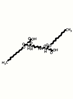 CCCCCCCCCCCCOC(=O)[C@H](CCC(=O)O)NC(=O)NCCCCCNC(=O)N[C@@H](CCC(=O)O)C(=O)OCCCCCCCCCCCC